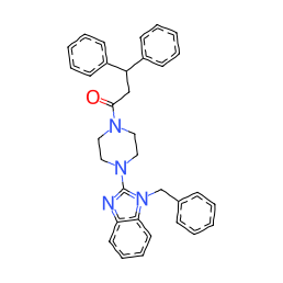 O=C(CC(c1ccccc1)c1ccccc1)N1CCN(c2nc3ccccc3n2Cc2ccccc2)CC1